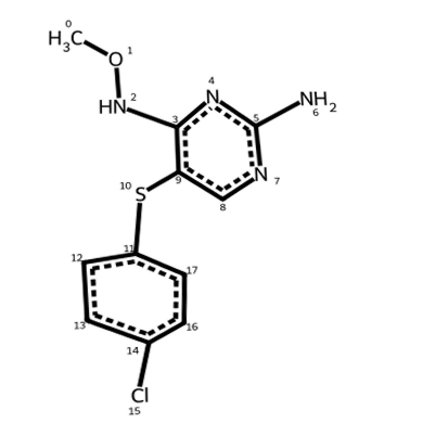 CONc1nc(N)ncc1Sc1ccc(Cl)cc1